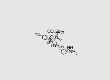 CCOC(=O)CCN(C(=O)[C@H](CC(=O)NC[C@@H]1CCCN(C(=N)N)C1)NS(=O)(=O)c1ccc(C#N)cc1)C1CC1.Cl